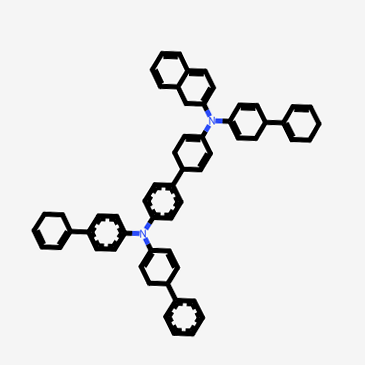 C1=CCCC(c2ccc(N(C3=CCC(c4ccccc4)C=C3)c3ccc(C4C=CC(N(C5=CCC(C6=CCCC=C6)C=C5)C5=CC=C6C=CC=CC6C5)=CC4)cc3)cc2)=C1